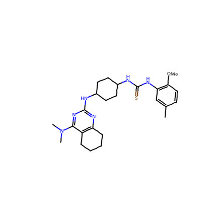 COc1ccc(C)cc1NC(=S)NC1CCC(Nc2nc3c(c(N(C)C)n2)CCCC3)CC1